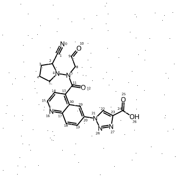 N#CC1CCCN1N(CC=O)C(=O)c1ccnc2ccc(-n3cc(C(=O)O)nn3)cc12